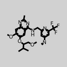 C=Nc1cc(CNc2nc(C)nc3cc(OC)c(OC(COC)C(C)C)cc23)nc(C(F)(F)F)c1